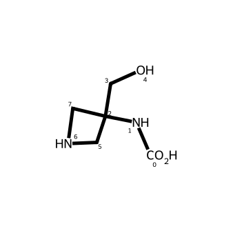 O=C(O)NC1(CO)CNC1